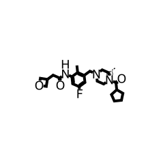 Cc1c(CN2CCN(C(=O)C3CCCC3)[C@@H](C)C2)cc(F)cc1NC(=O)CC1COC1